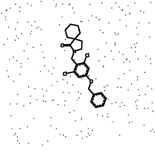 O=C1N(Cc2c(Cl)cc(OCc3ccccc3)cc2Cl)CCC12CCCCC2